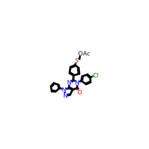 CC(=O)OCSc1ccc(-c2nc3c(cnn3-c3ccccc3)c(=O)n2-c2ccc(Cl)cc2)cc1